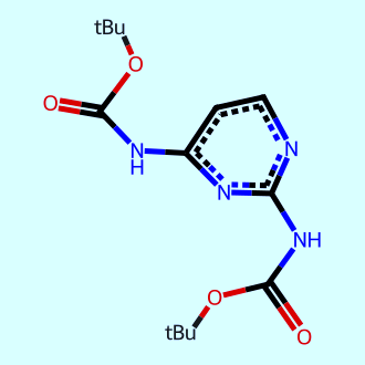 CC(C)(C)OC(=O)Nc1ccnc(NC(=O)OC(C)(C)C)n1